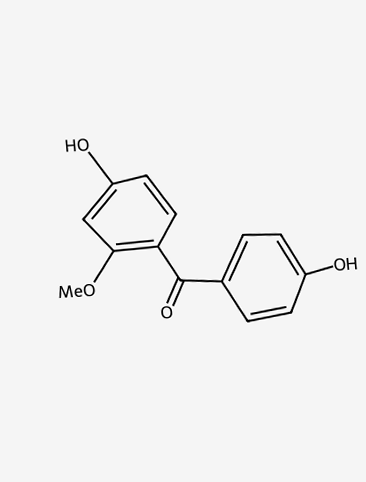 COc1cc(O)ccc1C(=O)c1ccc(O)cc1